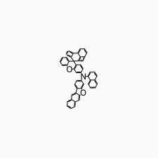 c1ccc2c(c1)Oc1cc(N(c3ccc4c(c3)oc3cc5ccccc5cc34)c3cccc4ccccc34)ccc1C21c2ccccc2-c2cccc3cccc1c23